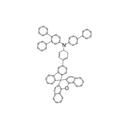 C1=CC(N(c2ccc(-c3ccccc3)cc2)c2ccc(-c3ccccc3)c(-c3ccccc3)c2)CC=C1c1ccc2c(c1)-c1ccccc1C21c2ccc3ccccc3c2Oc2c1ccc1ccccc21